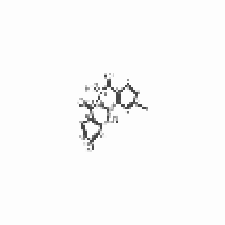 CCN(C(=O)c1ccc(C)cc1)N(CC#N)C(=O)c1ccc(C)cc1